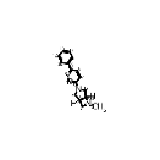 CN1C[C@H]2CN(c3ccc(-c4ccccc4)nn3)C[C@H]21